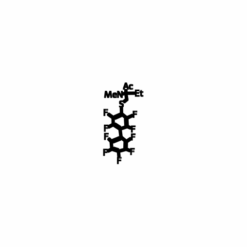 CCC(CSc1c(F)c(F)c(-c2c(F)c(F)c(F)c(F)c2F)c(F)c1F)(NC)C(C)=O